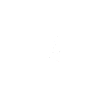 CCCN1C(=O)c2ccc(NC(C)(C)C)cc2C1=O